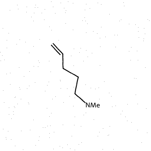 C=CCCCNC